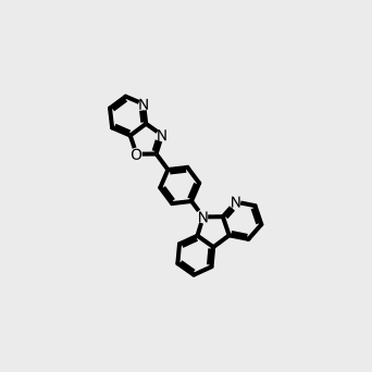 c1cnc2nc(-c3ccc(-n4c5ccccc5c5cccnc54)cc3)oc2c1